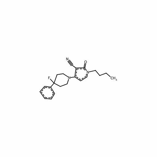 CCCCn1ccc(N2CCC(F)(c3ccccc3)CC2)c(C#N)c1=O